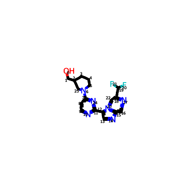 OCC1CCCN(c2ccnc(-c3cnc4cnc(C(F)F)cn34)n2)C1